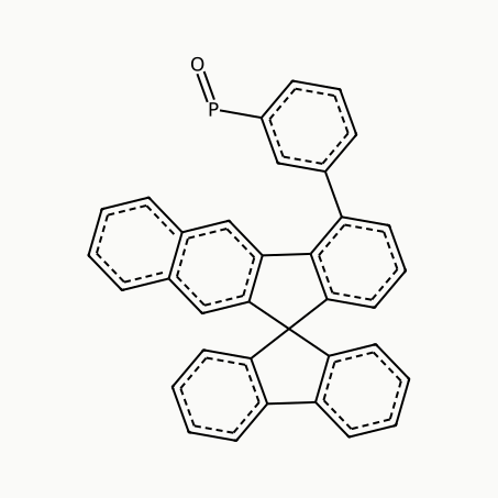 O=Pc1cccc(-c2cccc3c2-c2cc4ccccc4cc2C32c3ccccc3-c3ccccc32)c1